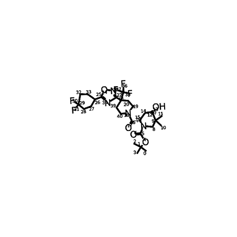 CC(C)(C)OC(=O)N1CC(C)(C)[C@H](O)C[C@H]1C(=O)N1CCC(c2noc(C3CCC(F)(F)CC3)n2)(C(F)(F)F)CC1